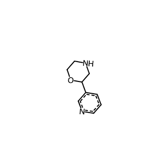 c1cncc(C2CNCCO2)c1